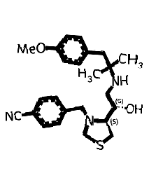 COc1ccc(CC(C)(C)NC[C@H](O)[C@H]2CSCN2Cc2ccc(C#N)cc2)cc1